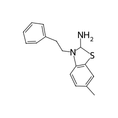 Cc1ccc2c(c1)SC(N)N2CCc1ccccc1